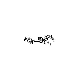 COC1C=c2sc(/C=C/C#Cc3ccc(N(C)C(=O)OC(C)(C)C)nc3F)nc2=CC1